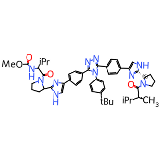 COC(=O)NC(C(=O)N1CCCC1c1nc(-c2ccc(-c3nnc(-c4ccc(-c5c[nH]c([C@@H]6CCCN6C(=O)[C](C)C(C)C)n5)cc4)n3-c3ccc(C(C)(C)C)cc3)cc2)c[nH]1)C(C)C